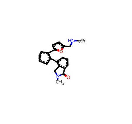 CCCNCc1ccc(-c2ccccc2-c2cccc3c2CN(C)C3=O)o1